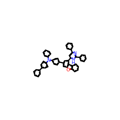 C1=C(c2ccccc2)N=C(c2ccccc2)NC1c1cc(-c2ccc(N(c3ccccc3)c3ccc(-c4ccccc4)cc3)cc2)cc2oc3ccccc3c12